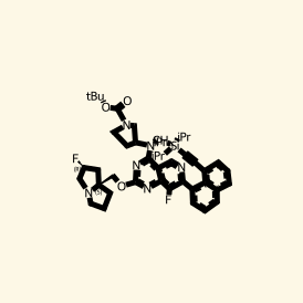 CC(C)[Si](C#Cc1cccc2cccc(-c3ncc4c(N(C)C5CCN(C(=O)OC(C)(C)C)C5)nc(OC[C@@]56CCCN5C[C@H](F)C6)nc4c3F)c12)(C(C)C)C(C)C